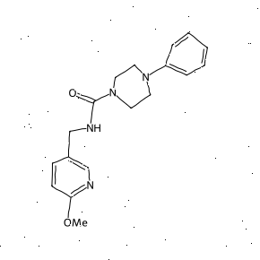 COc1ccc(CNC(=O)N2CCN(c3ccccc3)CC2)cn1